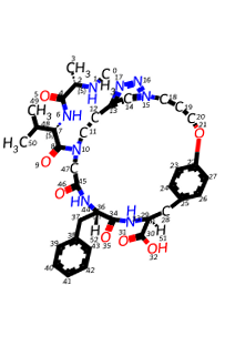 CN[C@@H](C)C(=O)N[C@H](C(=O)N1CCc2cn(nn2)CCCOc2ccc(cc2)C[C@@H](C(=O)O)NC(=O)[C@H](Cc2ccccc2)NC(=O)C1)C(C)C